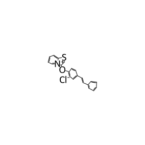 C(=C\c1ccc(OC2CSc3cccc[n+]32)cc1)/c1ccccc1.[Cl-]